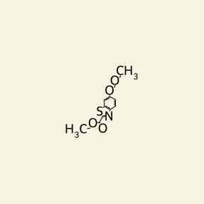 CCOCOc1ccc2nc(C(=O)OCC)sc2c1